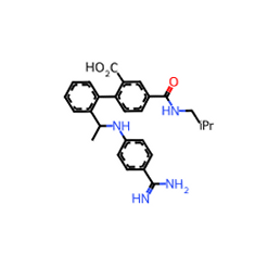 CC(C)CNC(=O)c1ccc(-c2ccccc2C(C)Nc2ccc(C(=N)N)cc2)c(C(=O)O)c1